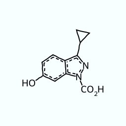 O=C(O)n1nc(C2CC2)c2ccc(O)cc21